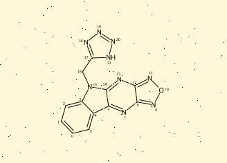 c1ccc2c(c1)c1nc3nonc3nc1n2Cc1nnn[nH]1